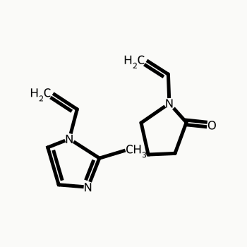 C=CN1CCCC1=O.C=Cn1ccnc1C